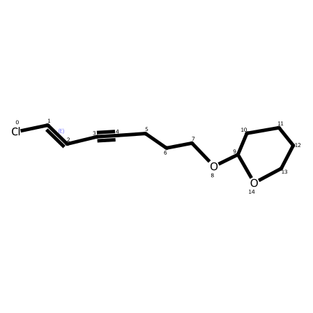 Cl/C=C/C#CCCCOC1CCCCO1